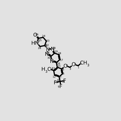 CCOCOc1cc(C(F)(F)F)cc(C)c1-c1ccc2nn([C@@H]3CCC(=O)NC3)nc2n1